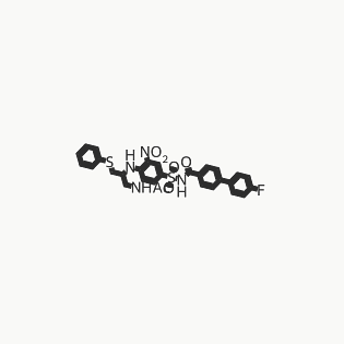 CC(=O)NCC(CSc1ccccc1)Nc1ccc(S(=O)(=O)NC(=O)c2ccc(-c3ccc(F)cc3)cc2)cc1[N+](=O)[O-]